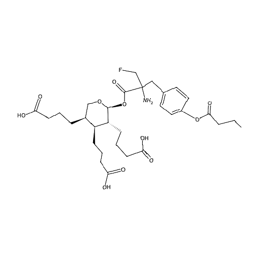 CCCC(=O)Oc1ccc(CC(N)(CF)C(=O)O[C@@H]2OC[C@H](CCCC(=O)O)[C@H](CCCC(=O)O)[C@H]2CCCC(=O)O)cc1